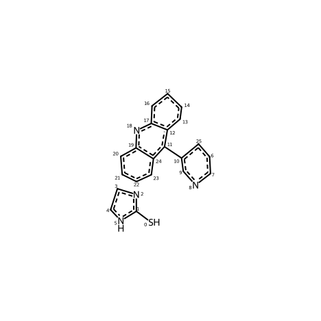 Sc1ncc[nH]1.c1cncc(-c2c3ccccc3nc3ccccc23)c1